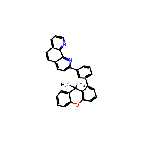 CC1(C)c2ccccc2Oc2cccc(-c3cccc(-c4ccc5ccc6cccnc6c5n4)c3)c21